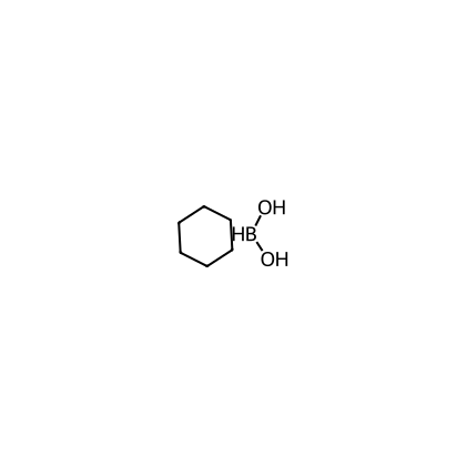 C1CCCCC1.OBO